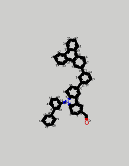 O=Cc1ccc2c(c1)c1cc(-c3cccc(-c4ccc5c6ccccc6c6ccccc6c5c4)c3)ccc1n2-c1cccc(-c2ccccc2)c1